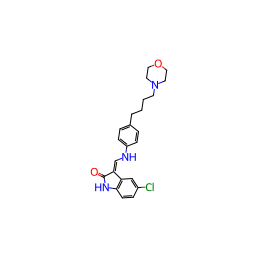 O=C1Nc2ccc(Cl)cc2/C1=C\Nc1ccc(CCCCN2CCOCC2)cc1